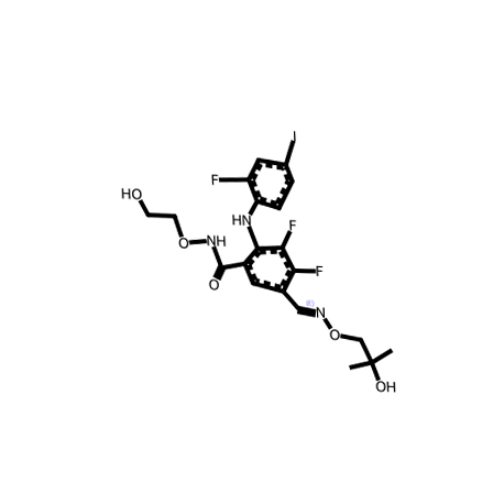 CC(C)(O)CO/N=C/c1cc(C(=O)NOCCO)c(Nc2ccc(I)cc2F)c(F)c1F